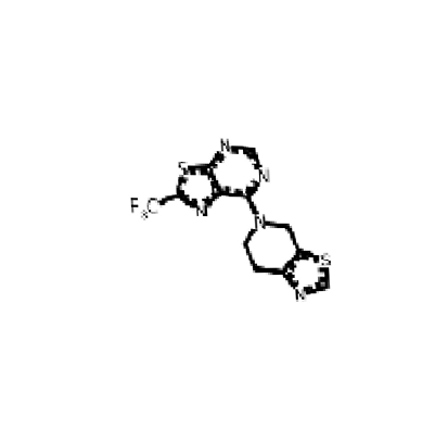 FC(F)(F)c1nc2c(N3CCc4ncsc4C3)ncnc2s1